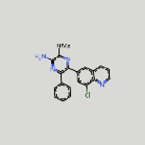 CNc1nc(-c2cc(Cl)c3ncccc3c2)c(-c2ccccc2)nc1N